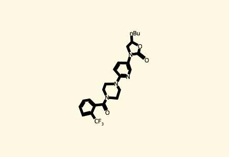 CCCCC1CN(c2ccc(N3CCN(C(=O)c4ccccc4C(F)(F)F)CC3)nc2)C(=O)O1